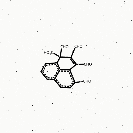 O=CC1=C(C=O)C(C=O)(C(=O)O)c2cccc3ccc(C=O)c1c23